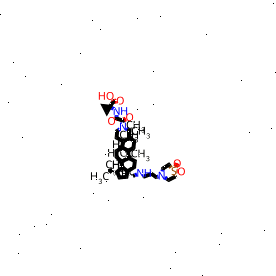 C=C(C)[C@@H]1CC[C@]2(CNCCCN3CCS(=O)(=O)CC3)CC[C@]3(C)[C@H](CC[C@@H]4[C@@]5(C)CCN(C(=O)C(=O)NC6(C(=O)O)CC6)C(C)(C)[C@@H]5CC[C@]43C)[C@@H]12